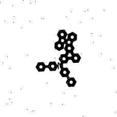 c1ccc(-c2ccc(N(c3ccc(-c4ccccc4)cc3)c3ccc4c(c3)c3ccccc3c3cc5c(cc43)C3(c4ccccc4-c4ccccc43)c3ccccc3-5)cc2)cc1